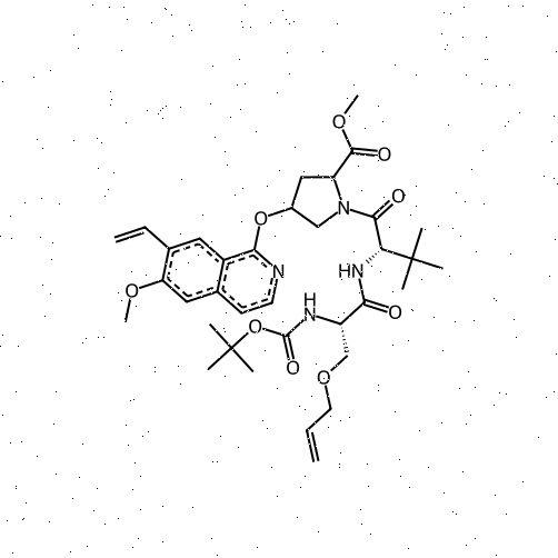 C=CCOC[C@H](NC(=O)OC(C)(C)C)C(=O)N[C@H](C(=O)N1CC(Oc2nccc3cc(OC)c(C=C)cc23)CC1C(=O)OC)C(C)(C)C